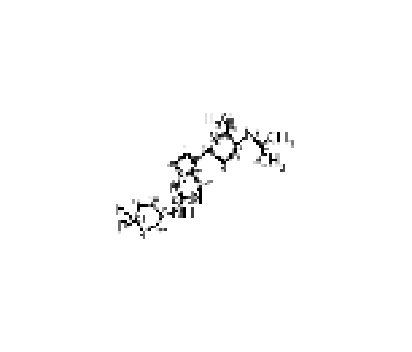 CC(C)=Nc1ccc(-c2ccn3nc(NC4CCC(F)(F)CC4)ncc23)nc1C